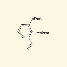 C=Cc1cccc(CCCCC)c1CCCCC